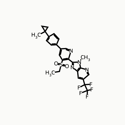 CCS(=O)(=O)c1cc(-c2ccc(C3(C)CC3)cc2)cnc1-c1nc2cc(C(F)(F)C(F)(F)F)cnc2n1C